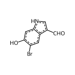 O=Cc1c[nH]c2cc(O)c(Br)cc12